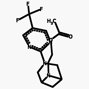 CC(=O)OCCN1C2CC1CN(c1ncc(C(F)(F)F)cn1)C2